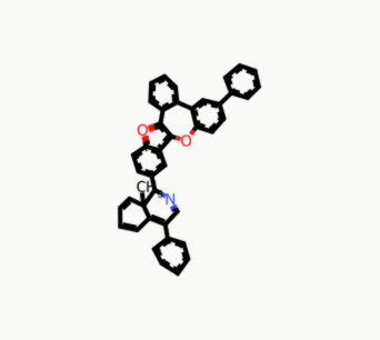 CC12C=CC=CC1=C(c1ccccc1)C=NC2c1ccc2oc3c(c2c1)Oc1ccc(-c2ccccc2)cc1-c1ccccc1-3